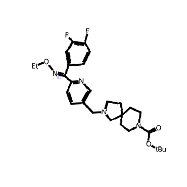 CCO/N=C(\c1ccc(F)c(F)c1)c1ccc(CN2CCC3(CCN(C(=O)OC(C)(C)C)CC3)C2)cn1